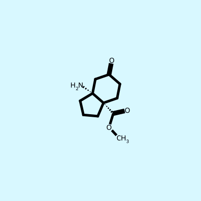 COC(=O)[C@]12CCC[C@@]1(N)CC(=O)CC2